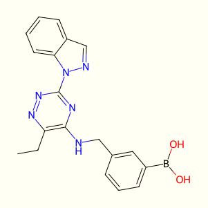 CCc1nnc(-n2ncc3ccccc32)nc1NCc1cccc(B(O)O)c1